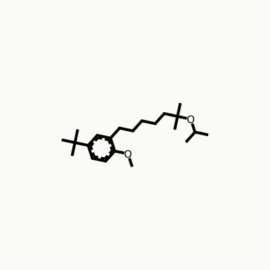 COc1ccc(C(C)(C)C)cc1CCCCCC(C)(C)OC(C)C